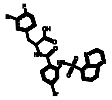 O=C(NC(Cc1ccc(F)c(Br)c1)C(=O)O)c1ccc(Br)cc1NS(=O)(=O)c1cccc2nccnc12